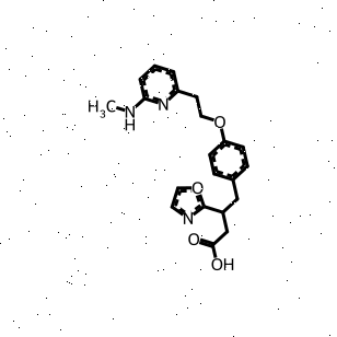 CNc1cccc(CCOc2ccc(CC(CC(=O)O)c3ncco3)cc2)n1